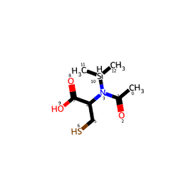 CC(=O)N(C(CS)C(=O)O)[SiH](C)C